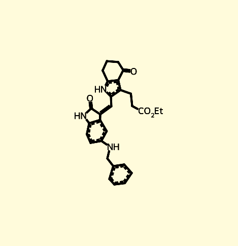 CCOC(=O)CCc1c(/C=C2\C(=O)Nc3ccc(NCc4ccccc4)cc32)[nH]c2c1C(=O)CCC2